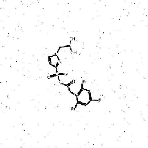 CC(C)c1cc(F)cc(C(C)C)c1CC(=O)NS(=O)(=O)c1ccn(C[C@@H](C)O)n1